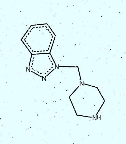 c1ccc2c(c1)nnn2CN1CCNCC1